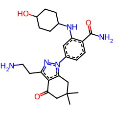 CC1(C)CC(=O)c2c(CCN)nn(-c3ccc(C(N)=O)c(NC4CCC(O)CC4)c3)c2C1